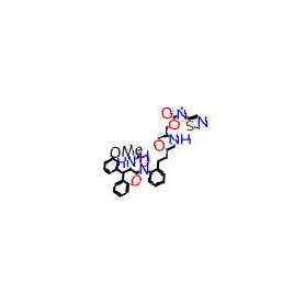 COC(=O)N[C@H](C(=O)Nc1ccccc1CC[C@@H]1CN[C@H](COC(=O)N(C)c2cncs2)CO1)C(c1ccccc1)c1ccccc1